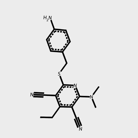 CCc1c(C#N)c(SCc2ccc(N)cc2)nc(N(C)C)c1C#N